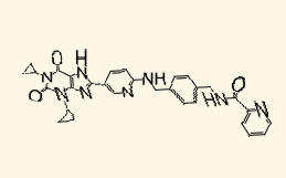 O=C(NCc1ccc(CNc2ccc(-c3nc4c([nH]3)c(=O)n(C3CC3)c(=O)n4C3CC3)cn2)cc1)c1ccccn1